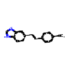 O=[N+]([O-])c1ccc(/C=C/c2ccc3[nH]cnc3c2)cc1